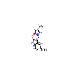 CCCC1CC(=O)N(Cc2c[nH]c3ccc(C#N)cc23)C1